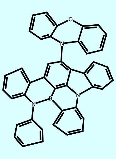 c1ccc(N2B3c4ccccc4-n4c5ccccc5c5c(N6c7ccccc7Oc7ccccc76)cc(c3c54)-c3ccccc32)cc1